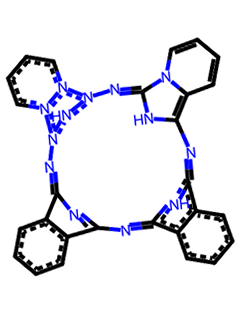 C1=CC2=C3N=c4[nH]c(c5ccccc45)=NC4=NC(=Nn5[nH]n(n6ccccn56)N=C(N3)N2C=C1)c1ccccc14